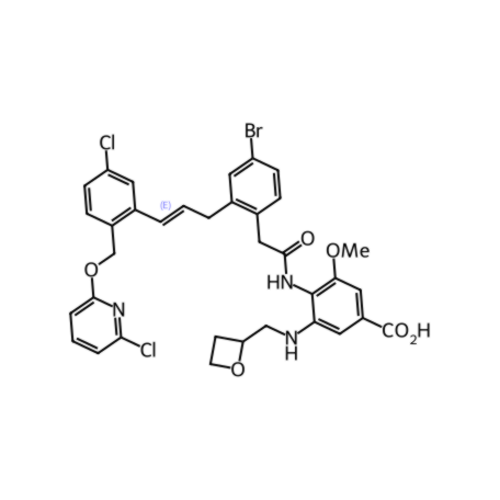 COc1cc(C(=O)O)cc(NCC2CCO2)c1NC(=O)Cc1ccc(Br)cc1C/C=C/c1cc(Cl)ccc1COc1cccc(Cl)n1